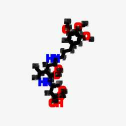 COc1cc(CCCNC(=O)CC(C(=O)NC(C=O)CC(=O)O)C(C)C)cc(OC)c1OC